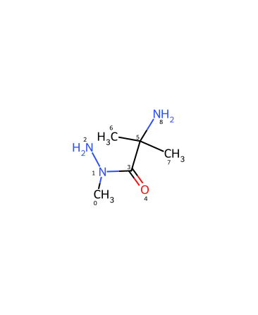 CN(N)C(=O)C(C)(C)N